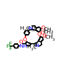 COc1cc2c3cc1Oc1c(OC)c(OC)cc4c1[C@H](Cc1ccc(cc1)Oc1cc(ccc1C(=O)Nc1ccc(C(F)(F)F)cc1)C[C@H]3N(C)CC2)N(C)CC4